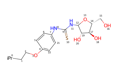 CC(C)CCOc1ccc(NC(=S)NC2O[C@H](CO)[C@@H](O)[C@@H]2O)cc1